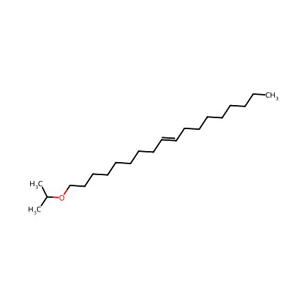 CCCCCCCC/C=C/CCCCCCCCOC(C)C